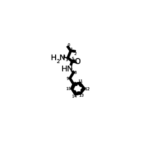 CC(C)[C@@H](N)C(=O)NCCc1ccccc1